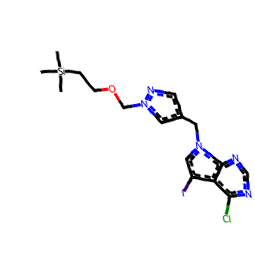 C[Si](C)(C)CCOCn1cc(Cn2cc(I)c3c(Cl)ncnc32)cn1